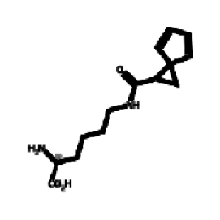 N[C@@H](CCCCNC(=O)C1CC12C=CC=C2)C(=O)O